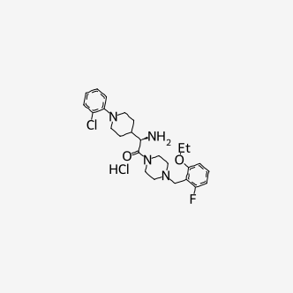 CCOc1cccc(F)c1CN1CCN(C(=O)[C@H](N)C2CCN(c3ccccc3Cl)CC2)CC1.Cl